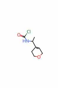 CC(NC(=O)Cl)C1=CCOCC1